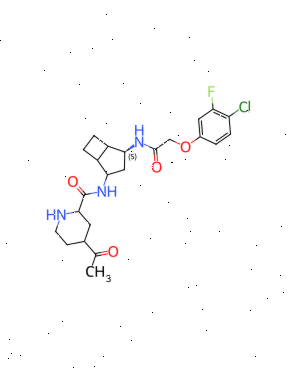 CC(=O)C1CCNC(C(=O)NC2C[C@H](NC(=O)COc3ccc(Cl)c(F)c3)C3CCC23)C1